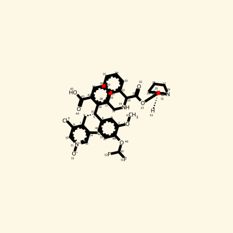 COc1cc([C@H](Cc2c(Cl)c[n+]([O-])cc2Cl)c2c(CNC(C(=O)O[C@H]3CN4CCC3CC4)c3ccccc3F)cccc2C(=O)O)ccc1OC(F)F